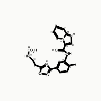 Cc1ccc(-c2noc(CCNC(=O)O)n2)cc1NC(=O)c1cnc2ccccn12